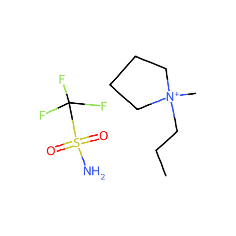 CCC[N+]1(C)CCCC1.NS(=O)(=O)C(F)(F)F